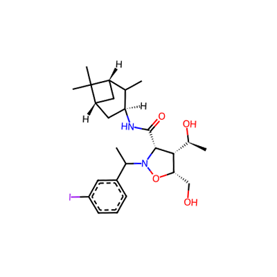 CC1[C@@H](NC(=O)[C@@H]2[C@H]([C@H](C)O)[C@H](CO)ON2C(C)c2cccc(I)c2)C[C@H]2C[C@@H]1C2(C)C